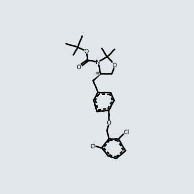 CC(C)(C)OC(=O)N1[C@H](Cc2ccc(OCc3c(Cl)cccc3Cl)cc2)COC1(C)C